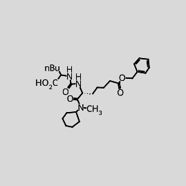 CCCCC(NC(=O)N[C@H](CCCCC(=O)OCc1ccccc1)C(=O)N(C)C1CCCCC1)C(=O)O